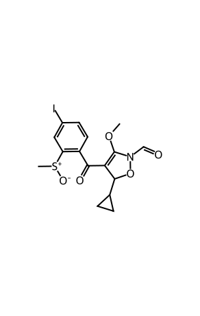 COC1=C(C(=O)c2ccc(I)cc2[S+](C)[O-])C(C2CC2)ON1C=O